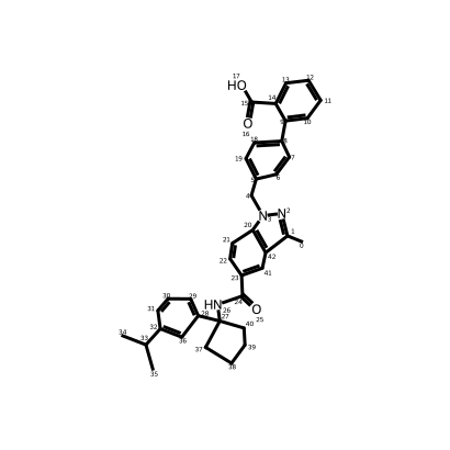 Cc1nn(Cc2ccc(-c3ccccc3C(=O)O)cc2)c2ccc(C(=O)NC3(c4cccc(C(C)C)c4)CCCC3)cc12